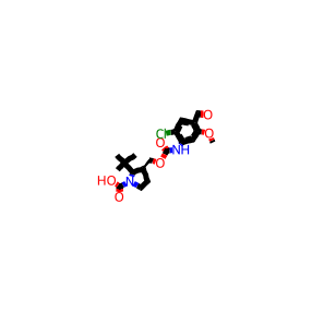 COc1cc(NC(=O)OC[C@H]2CCN(C(=O)O)C2C(C)(C)C)c(Cl)cc1C=O